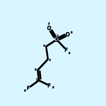 O=S(=O)(F)CCC=C(F)F